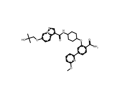 COc1cccc(-c2ccc(C(N)=O)c(OC3CCC(NC(=O)c4cnn5cc(OCC(C)(C)O)ccc45)CC3)c2)n1